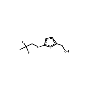 OCc1ccc(OCC(F)(F)F)s1